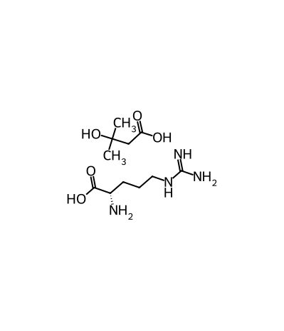 CC(C)(O)CC(=O)O.N=C(N)NCCC[C@H](N)C(=O)O